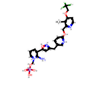 Cc1c(OCC(F)(F)F)ccnc1COc1ccc(Cc2cc(-c3ccc[n+](COP(=O)([O-])O)c3N)on2)cn1